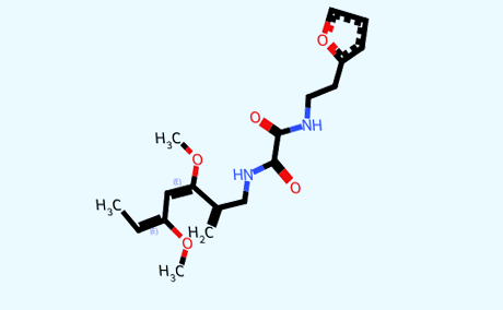 C=C(CNC(=O)C(=O)NCCc1ccco1)/C(=C\C(=C/C)OC)OC